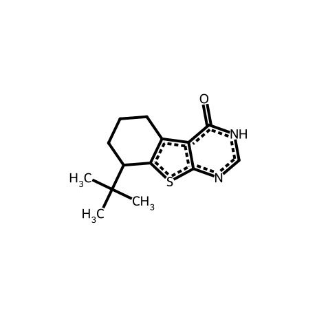 CC(C)(C)C1CCCc2c1sc1nc[nH]c(=O)c21